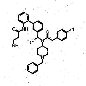 CC(c1cccc(-c2ccccc2NC(=O)CCN)c1)N(C(=O)Cc1ccc(Cl)cc1)C1CCN(Cc2ccccc2)CC1